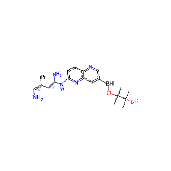 CC(C)C(=C/N)/C=C(\N)Nc1ccc2ncc(BOC(C)(C)C(C)(C)O)cc2n1